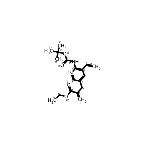 C=Cc1cc(CC(=C)C(=O)OCC)cnc1NC(=O)OC(C)(C)C